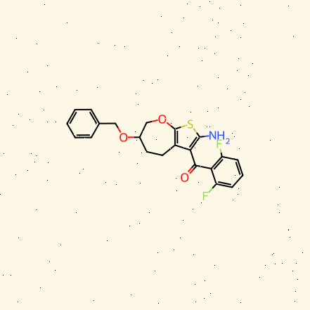 Nc1sc2c(c1C(=O)c1c(F)cccc1F)CCC(OCc1ccccc1)CO2